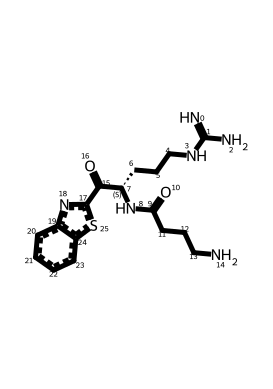 N=C(N)NCCC[C@H](NC(=O)CCCN)C(=O)c1nc2ccccc2s1